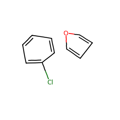 Clc1ccccc1.c1ccoc1